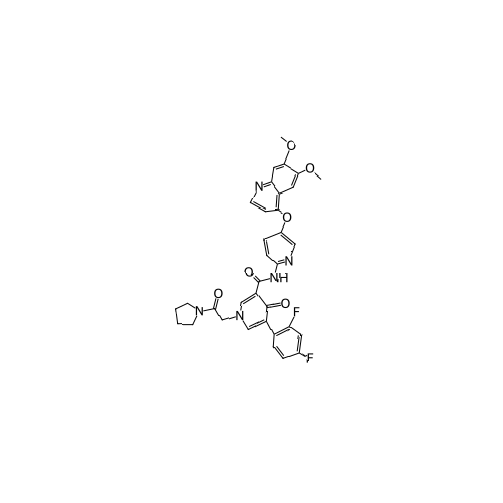 COc1cc2nccc(Oc3ccc(NC(=O)c4cn(CC(=O)N5CCCC5)cc(-c5ccc(F)cc5F)c4=O)nc3)c2cc1OC